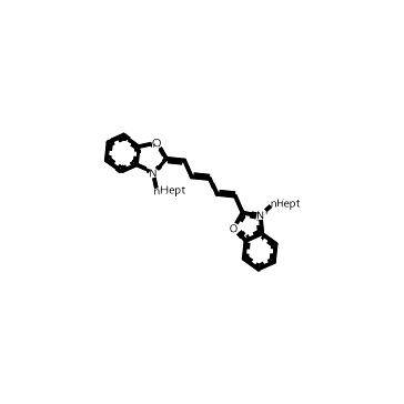 CCCCCCCN1C(=CC=CC=Cc2oc3ccccc3[n+]2CCCCCCC)Oc2ccccc21